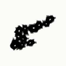 c1ccc(-c2nc3cccc(-c4ccc(-c5ccc6cc(-c7ccc8ccccc8c7)ccc6c5)cc4)c3c3ccc4c(c5ccccc5n4-c4ccccc4)c23)cc1